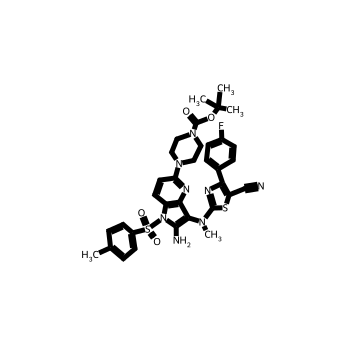 Cc1ccc(S(=O)(=O)n2c(N)c(N(C)c3nc(-c4ccc(F)cc4)c(C#N)s3)c3nc(N4CCN(C(=O)OC(C)(C)C)CC4)ccc32)cc1